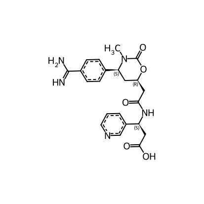 CN1C(=O)O[C@@H](CC(=O)N[C@@H](CC(=O)O)c2cccnc2)C[C@H]1c1ccc(C(=N)N)cc1